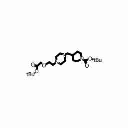 CC(C)(C)OC(=O)COCCN1CCN(CC2CCN(C(=O)OC(C)(C)C)CC2)CC1